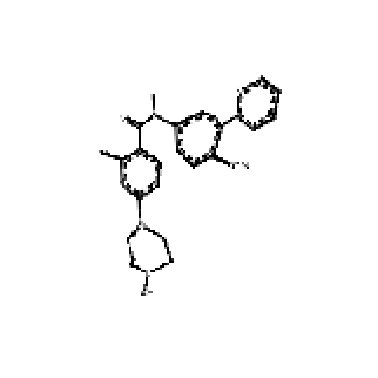 CC(=O)N1CCN(c2ccc(C(=O)N(C)c3ccc(C#N)c(-c4ccccn4)c3)c(C)n2)CC1